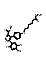 CCNC(=O)c1noc(-c2cc(Cl)c(O)cc2O)c1-c1ccc(OCCCCCC(=O)NO)cc1